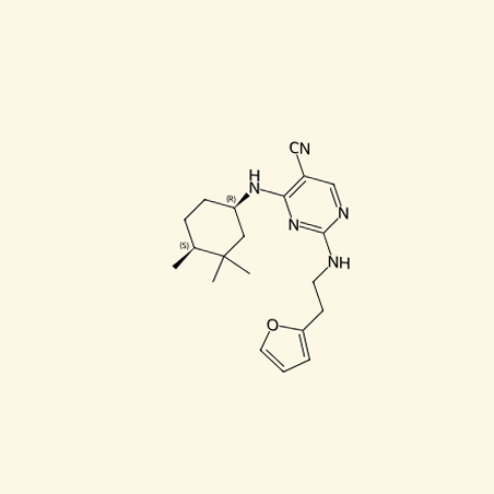 C[C@H]1CC[C@@H](Nc2nc(NCCc3ccco3)ncc2C#N)CC1(C)C